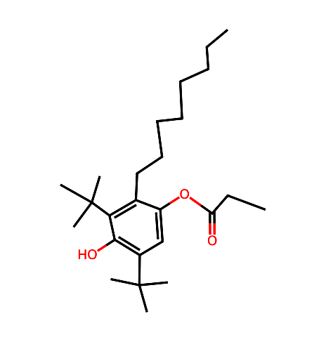 CCCCCCCCc1c(OC(=O)CC)cc(C(C)(C)C)c(O)c1C(C)(C)C